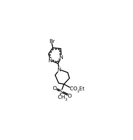 CCOC(=O)C1(S(C)(=O)=O)CCN(c2ncc(Br)cn2)CC1